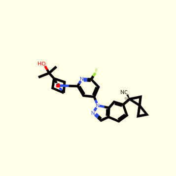 CC(C)(O)C12CC(C1)N(c1cc(-n3ncc4ccc([C@]5(C#N)CC56CC6)cc43)cc(F)n1)C2